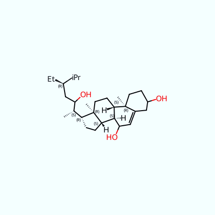 CC[C@H](CC(O)[C@@H](C)[C@H]1CC[C@H]2[C@@H]3C(O)C=C4CC(O)CC[C@]4(C)[C@H]3CC[C@]12C)C(C)C